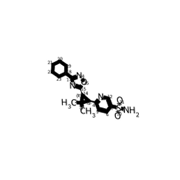 CC1(C)[C@H](c2ccc(S(N)(=O)=O)cn2)[C@H]1c1nc(C2CCCCC2)no1